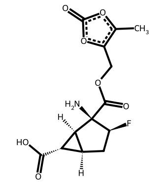 Cc1oc(=O)oc1COC(=O)[C@@]1(N)[C@H]2[C@@H](C[C@@H]1F)[C@@H]2C(=O)O